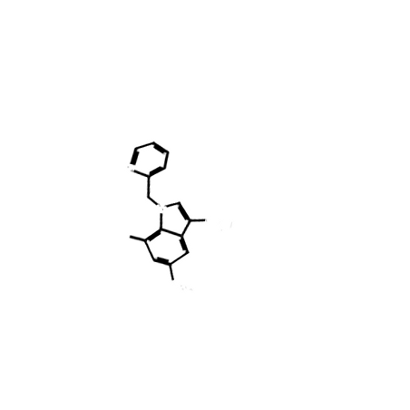 COc1cc(C)c2c(c1)c(C(=O)O)cn2Cc1ccccn1